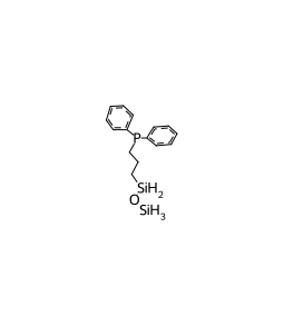 [SiH3]O[SiH2]CCCP(c1ccccc1)c1ccccc1